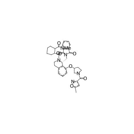 CNC(=O)C1CCCCC1C(=O)N1CCc2cccc(OC3CCN(C(=O)c4cc(C)on4)C3)c2[C@H]1CN1C(=O)c2ccccc2C1=O